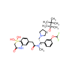 CN(C(=O)Cc1ccc2c(c1)NC(=O)CS2(O)O)[C@H](CN1CC[C@H](O[Si](C)(C)C(C)(C)C)C1)c1cccc(OC(F)F)c1